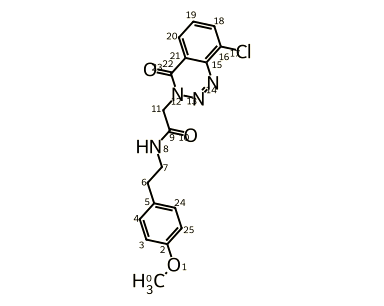 COc1ccc(CCNC(=O)Cn2nnc3c(Cl)cccc3c2=O)cc1